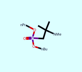 CCCCOP(=O)(CC(C)(C)NC)OCCC